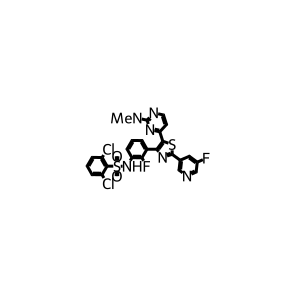 CNc1nccc(-c2sc(-c3cncc(F)c3)nc2-c2cccc(NS(=O)(=O)c3c(Cl)cccc3Cl)c2F)n1